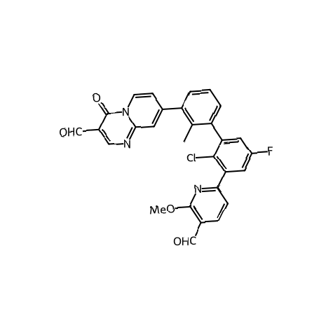 COc1nc(-c2cc(F)cc(-c3cccc(-c4ccn5c(=O)c(C=O)cnc5c4)c3C)c2Cl)ccc1C=O